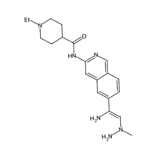 CCN1CCC(C(=O)Nc2cc3cc(/C(N)=C/N(C)N)ccc3cn2)CC1